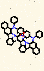 c1ccc(N(c2ccccc2)c2c3ccccc3cc3c4cccc5c6c7c8cccc9c%10c%11ccccc%11cc(N(c%11ccccc%11)c%11ccccc%11)c%10n(c7ncc6n(c23)c45)c89)cc1